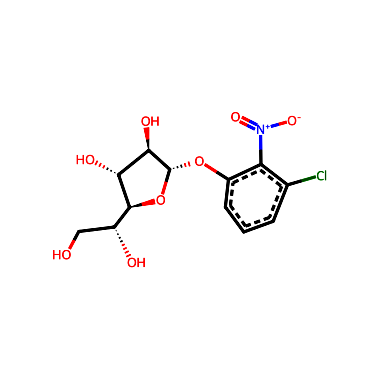 O=[N+]([O-])c1c(Cl)cccc1O[C@@H]1O[C@@H]([C@H](O)CO)[C@H](O)[C@H]1O